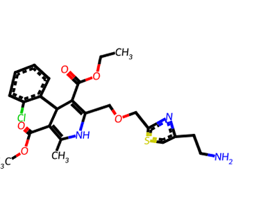 CCOC(=O)C1=C(COCc2nc(CCN)cs2)NC(C)=C(C(=O)OC)C1c1ccccc1Cl